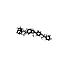 O=C(NC12CC3CC(CC(C3)C1)C2)c1ccc2cc(-c3ccc(NC(=O)c4ccccn4)cc3)[nH]c2c1